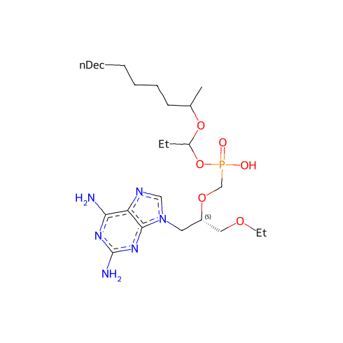 CCCCCCCCCCCCCCC(C)OC(CC)OP(=O)(O)CO[C@H](COCC)Cn1cnc2c(N)nc(N)nc21